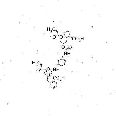 C=CC(=O)OCC(Cc1ccccc1C(=O)O)OC(=O)NCc1cccc(CNC(=O)OC(COC(=O)C=C)Cc2ccccc2C(=O)O)c1